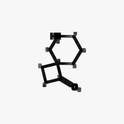 O=C1CCC12CCCNC2